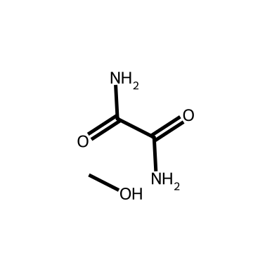 CO.NC(=O)C(N)=O